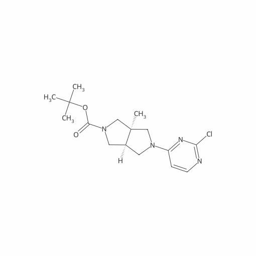 CC(C)(C)OC(=O)N1C[C@@H]2CN(c3ccnc(Cl)n3)C[C@]2(C)C1